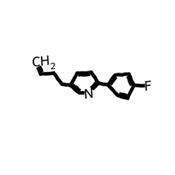 C=CCCc1ccc(-c2ccc(F)cc2)nc1